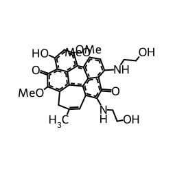 COc1c2c3c4c(c(NCCO)c(=O)c5c(NCCO)cc(OC)c(c6c(OC)cc(O)c(c1=O)c63)c54)C=C(C)C2